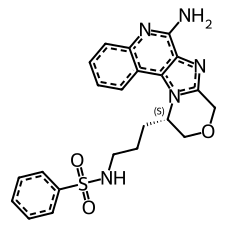 Nc1nc2ccccc2c2c1nc1n2[C@@H](CCCNS(=O)(=O)c2ccccc2)COC1